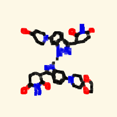 Cn1nc(C2CCC(=O)NC2=O)c2ccc(N3CCC(=O)CC3)cc21.Cn1nc(C2CCC(=O)NC2=O)c2ccc(N3CCC4(CC3)OCCO4)cc21